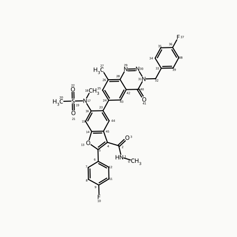 CNC(=O)c1c(-c2ccc(F)cc2)oc2cc(N(C)S(C)(=O)=O)c(-c3cc(C)c4nnn(Cc5ccc(F)cc5)c(=O)c4c3)cc12